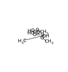 CCCCCCCCCCCCCCCCC(OCCCCC)C(=O)O.CCCOC(=O)c1cc(O)c(O)c(O)c1